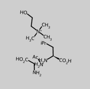 CC(C)C[C@H](N)C(=O)O.CC(N)=O.C[N+](C)(C)CCO.NCC(=O)O